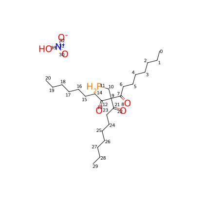 CCCCCCCC(=O)C(CP)(C(=O)CCCCCCC)C(=O)CCCCCCC.O=[N+]([O-])O